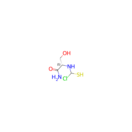 NC(=O)[C@H](CO)NC(S)Cl